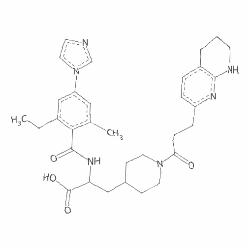 CCc1cc(-n2ccnc2)cc(C)c1C(=O)NC(CC1CCN(C(=O)CCc2ccc3c(n2)NCCC3)CC1)C(=O)O